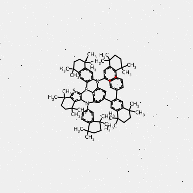 CC1(C)CCC(C)(C)c2cc(N3c4cc5c(cc4B4c6sc7c(c6N(c6ccc8c(c6)C(C)(C)CCC8(C)C)c6cc(-c8cc9c(cc8-c8ccccc8)C(C)(C)CCC9(C)C)cc3c64)C(C)(C)CCC7(C)C)C(C)(C)CCC5(C)C)ccc21